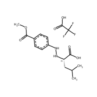 COC(=O)c1ccc(NN[C@@H](CC(C)C)C(=O)O)cc1.O=C(O)C(F)(F)F